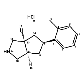 Cc1ccccc1[C@H]1C[C@H]2CNC[C@H]2C1.Cl